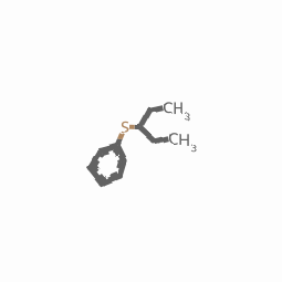 CCC(CC)Sc1ccccc1